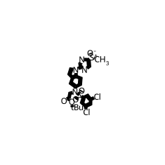 C[S+]([O-])c1cnc(-n2ccc3cc(N(CC(=O)OC(C)(C)C)S(=O)(=O)c4cc(Cl)cc(Cl)c4)ccc32)cn1